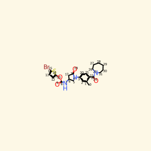 Cc1cc(N2CC(NC(=O)Oc3ccc(Br)s3)CC2=O)ccc1C(=O)N1CCCCCC1